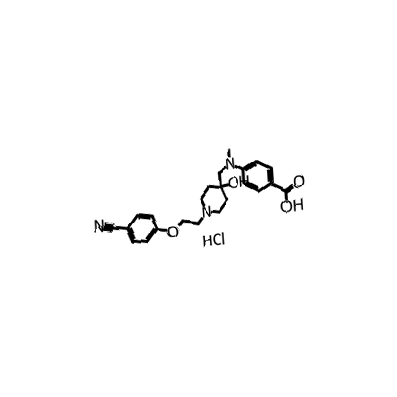 CN(CC1(O)CCN(CCOc2ccc(C#N)cc2)CC1)c1ccc(C(=O)O)cc1.Cl